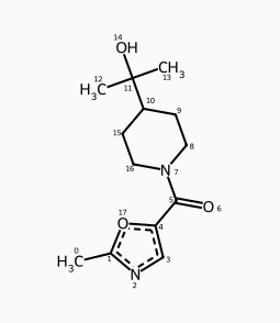 Cc1ncc(C(=O)N2CCC(C(C)(C)O)CC2)o1